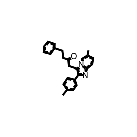 Cc1ccc(-c2nc3ccc(C)cn3c2CC(=O)CCc2ccccc2)cc1